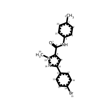 Cc1ccc(NC(=O)c2cc(-c3ccc(Br)cc3)nn2C)cc1